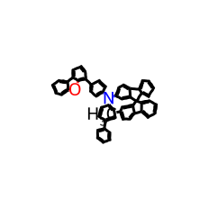 Cc1ccc2c(c1)C1(c3ccccc3-2)c2ccccc2-c2ccc(N(c3ccc(-c4ccccc4)cc3)c3ccc(-c4cccc5c4oc4ccccc45)cc3)cc21